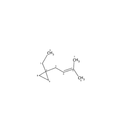 C[CH]C1(CC=C(C)C)CC1